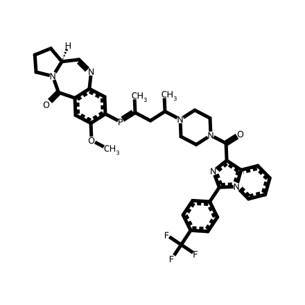 COc1cc2c(cc1/P=C(\C)CC(C)N1CCN(C(=O)c3nc(-c4ccc(C(F)(F)F)cc4)n4ccccc34)CC1)N=C[C@@H]1CCCN1C2=O